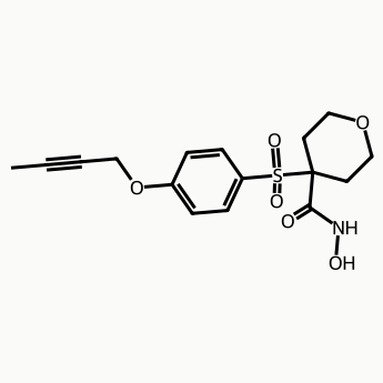 CC#CCOc1ccc(S(=O)(=O)C2(C(=O)NO)CCOCC2)cc1